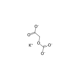 O=C([O-])CO[I+2]([O-])[O-].[K+]